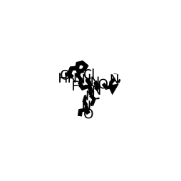 C=CC(=O)N1CCN(c2nc(OCC3(CN(C)C)CC3)nc3nc(-c4[nH]c(=O)cc5cccc(Cl)c45)c(F)cc23)[C@@H](C)C1